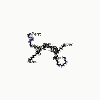 CCCCC/C=C\C/C=C\C/C=C\C/C=C\CCCC(=O)OC[C@H](COP(=O)(O)OC[C@@H](O)COP(=O)(O)OC[C@@H](COC(=O)CCCCCCCCCCCCCCCCC)OC(=O)CCC/C=C\C/C=C\C/C=C\C/C=C\CCCCC)OC(=O)CCCCCCCCCCCCCCC